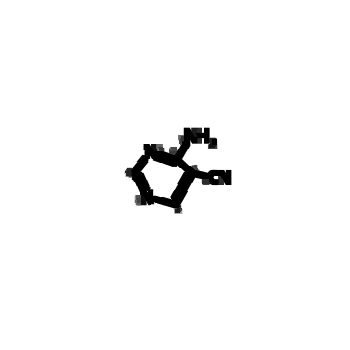 N#Cc1cn[c]nc1N